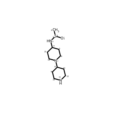 C[S+]([O-])NC1CCN(C2CCNCC2)CC1